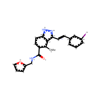 COc1c(C(=O)NCc2ccco2)ccc2[nH]nc(/C=C/c3cccc(I)c3)c12